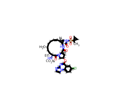 CC[C@@H]1C[C@H](C)CC/C=C\[C@@H]2C[C@@]2(C(=O)NS(=O)(=O)C2(C)CC2)NC(=O)[C@@H]2C[C@@H](Oc3nc4nccn4c4ccc(Cl)cc34)CN2C(=O)[C@H]1NC(=O)O